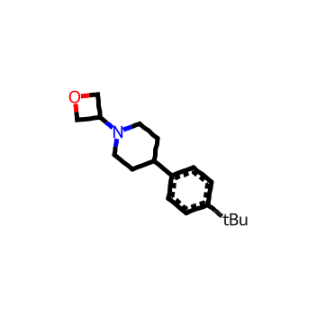 CC(C)(C)c1ccc(C2CCN(C3COC3)CC2)cc1